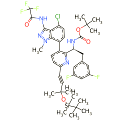 Cn1nc(NC(=O)C(F)(F)F)c2c(Cl)ccc(-c3ccc(C#CC(C)(C)O[Si](C)(C)C(C)(C)C)nc3[C@H](Cc3cc(F)cc(F)c3)NC(=O)OC(C)(C)C)c21